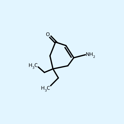 CCC1(CC)CC(=O)C=C(N)C1